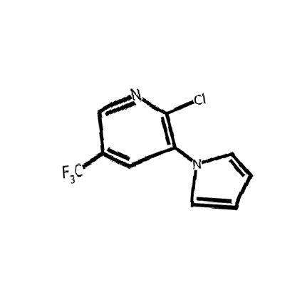 FC(F)(F)c1cnc(Cl)c(-n2cccc2)c1